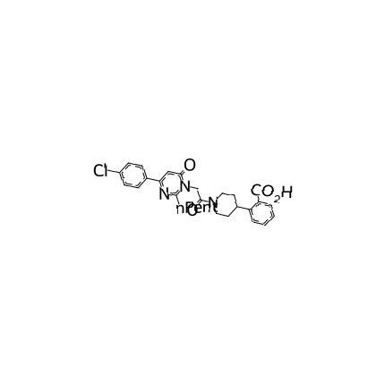 CCCCCc1nc(-c2ccc(Cl)cc2)cc(=O)n1CC(=O)N1CCC(c2ccccc2C(=O)O)CC1